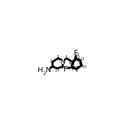 NC1CCN(Cc2c(F)cccc2F)CC1